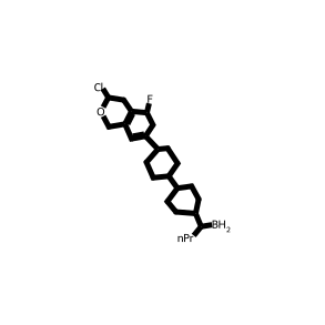 BC(CCC)C1CCC(C2CCC(C3=CC4=C(CC(Cl)OC4)C(F)C3)CC2)CC1